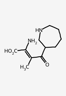 CC(C(=O)C1CCCCNC1)=C(N)C(=O)O